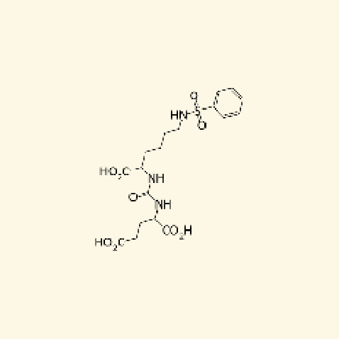 O=C(O)CCC(NC(=O)NC(CCCCNS(=O)(=O)c1ccccc1)C(=O)O)C(=O)O